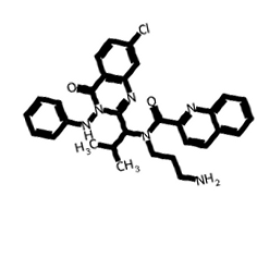 CC(C)C(c1nc2cc(Cl)ccc2c(=O)n1Nc1ccccc1)N(CCCN)C(=O)c1ccc2ccccc2n1